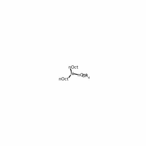 C.CCCCCCCCN(CCCCCCCC)CCCCCCCC